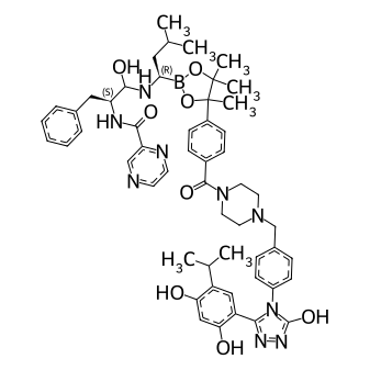 CC(C)C[C@H](NC(O)[C@H](Cc1ccccc1)NC(=O)c1cnccn1)B1OC(C)(C)C(C)(c2ccc(C(=O)N3CCN(Cc4ccc(-n5c(O)nnc5-c5cc(C(C)C)c(O)cc5O)cc4)CC3)cc2)O1